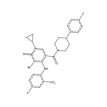 Cc1cc(F)ccc1Nc1c(C(=O)N2CCC(c3ccc(F)cc3)CC2)cn(C2CC2)c(=O)c1Br